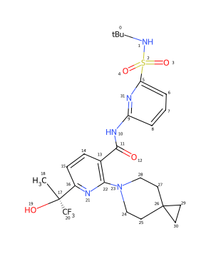 CC(C)(C)NS(=O)(=O)c1cccc(NC(=O)c2ccc([C@](C)(O)C(F)(F)F)nc2N2CCC3(CC2)CC3)n1